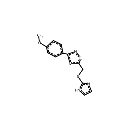 FC(F)(F)Oc1ccc(-c2noc(CSc3ncc[nH]3)n2)cc1